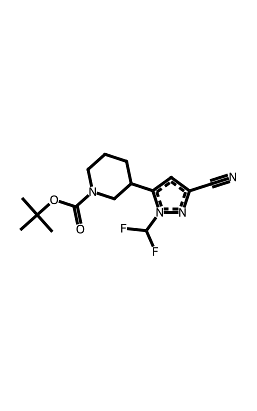 CC(C)(C)OC(=O)N1CCCC(c2cc(C#N)nn2C(F)F)C1